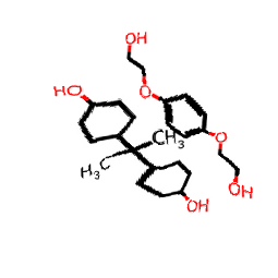 CC(C)(C1CCC(O)CC1)C1CCC(O)CC1.OCCOc1ccc(OCCO)cc1